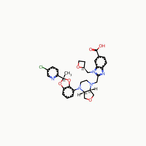 C[C@]1(c2ccc(Cl)cn2)Oc2cccc(N3CCN(Cc4nc5ccc(C(=O)O)cc5n4C[C@@H]4CCO4)[C@@H]4COC[C@@H]43)c2O1